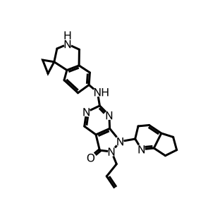 C=CCn1c(=O)c2cnc(Nc3ccc4c(c3)CNCC43CC3)nc2n1C1CC=C2CCCC2=N1